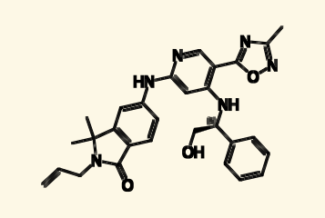 C=CCN1C(=O)c2ccc(Nc3cc(N[C@H](CO)c4ccccc4)c(-c4nc(C)no4)cn3)cc2C1(C)C